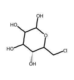 OC1OC(CCl)[C@H](O)C(O)C1O